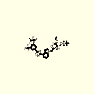 CCOC(=O)[C@H](CO[Si](C)(C)C(C)(C)C)NC(=O)Cn1ccc2c(-c3noc(-c4ccc(O[C@@H](C)C(F)(F)F)c(C(F)(F)F)c4)n3)cccc21